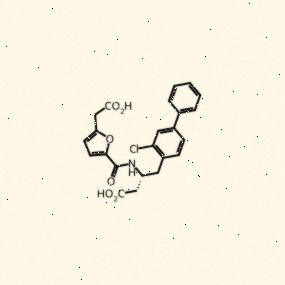 O=C(O)Cc1ccc(C(=O)N[C@@H](CC(=O)O)Cc2ccc(-c3ccccc3)cc2Cl)o1